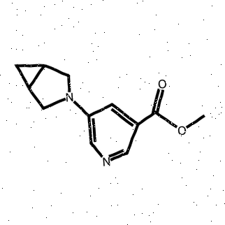 COC(=O)c1cncc(N2CC3CC3C2)c1